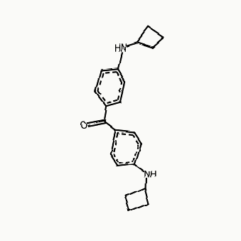 O=C(c1ccc(NC2CCC2)cc1)c1ccc(NC2CCC2)cc1